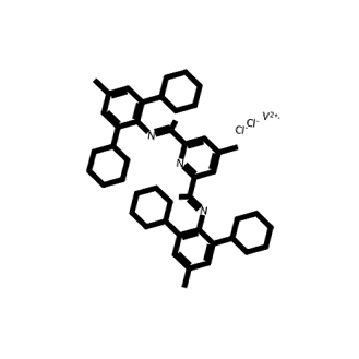 CC(=Nc1c(C2CCCCC2)cc(C)cc1C1CCCCC1)c1cc(C)cc(C(C)=Nc2c(C3CCCCC3)cc(C)cc2C2CCCCC2)n1.[Cl-].[Cl-].[V+2]